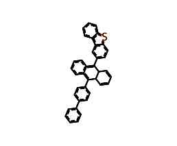 C1=CC2C(c3ccc(-c4ccccc4)cc3)=c3ccccc3=C(c3ccc4sc5ccccc5c4c3)C2C=C1